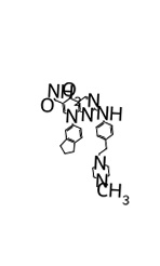 CN1CCN(CCc2ccc(Nc3ncc4c(=O)c(C(N)=O)cn(-c5ccc6c(c5)CCC6)c4n3)cc2)CC1